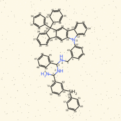 NC(NC(NCc1cccc(-n2c3ccccc3c3cc4c(cc32)-c2ccccc2C4(c2ccccc2)C2C=CC=CC2)c1)c1ccccc1)c1cccc([SiH2]c2ccccc2)c1